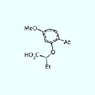 CCC(Oc1cc(OC)ccc1C(C)=O)C(=O)O